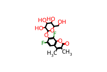 Cc1c(C)c2cc(F)c(OC3OC(CO)C(O)C(O)C3O)c(F)c2oc1=O